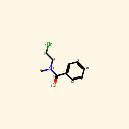 CN(CCBr)C(=O)c1ccccc1